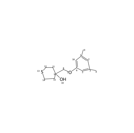 Cc1cc(C)cc(OCC2(O)CCSCC2)c1